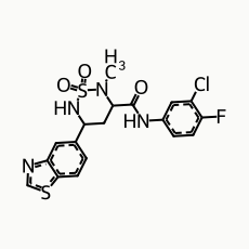 CN1C(C(=O)Nc2ccc(F)c(Cl)c2)CC(c2ccc3scnc3c2)NS1(=O)=O